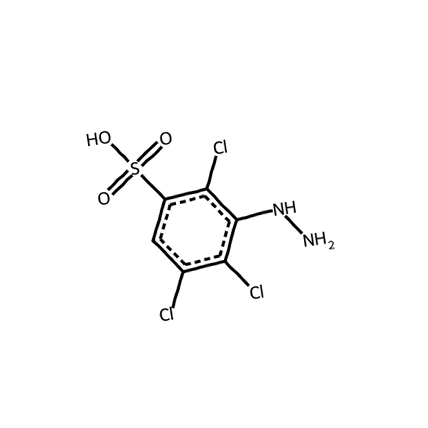 NNc1c(Cl)c(Cl)cc(S(=O)(=O)O)c1Cl